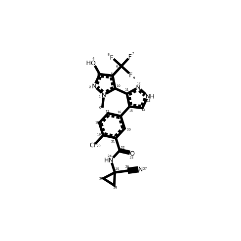 Cn1nc(O)c(C(F)(F)F)c1-c1n[nH]cc1-c1ccc(Cl)c(C(=O)NC2(C#N)CC2)c1